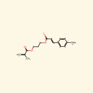 C=C(C)C(=O)OCCCOC(=O)C=Cc1ccc(OC)cc1